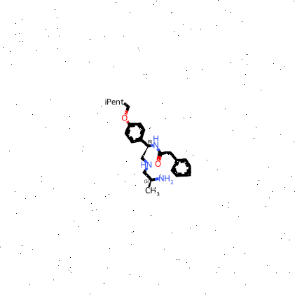 CCCC(C)COc1ccc([C@H](CNC[C@H](C)N)NC(=O)Cc2ccccc2)cc1